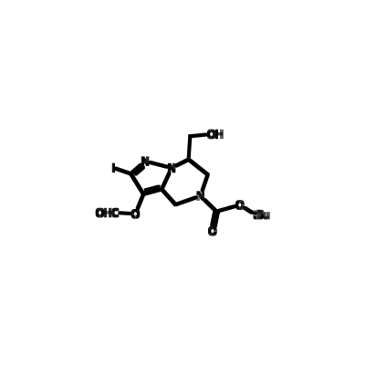 CC(C)(C)OC(=O)N1Cc2c(OC=O)c(I)nn2C(CO)C1